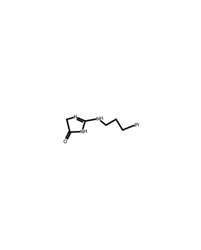 CC(C)CCCNC1=NCC(=O)N1